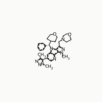 Cc1nnn(C)c1-c1cnc2c3c(c(CN4CCOCC4)nn3C)n([C@H](c3ccccc3)C3CCOCC3)c2c1